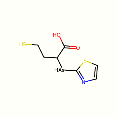 O=C(O)C(CCS)[AsH]c1nccs1